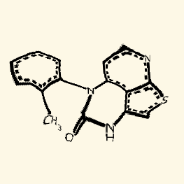 Cc1ccccc1N1C(=O)Nc2csc3nccc1c23